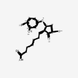 O=C(O)CCCCCC=C1C(=O)C(Cl)=CC1Oc1ccc(F)c(O)c1